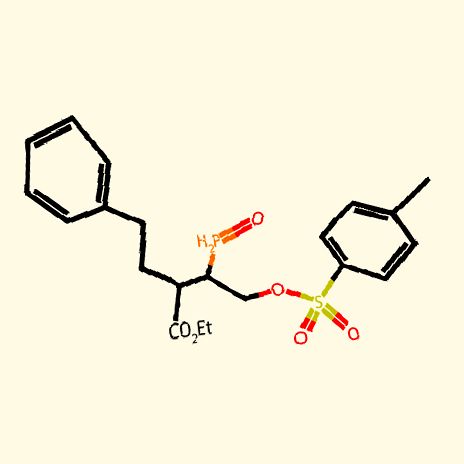 CCOC(=O)C(CCc1ccccc1)C(COS(=O)(=O)c1ccc(C)cc1)[PH2]=O